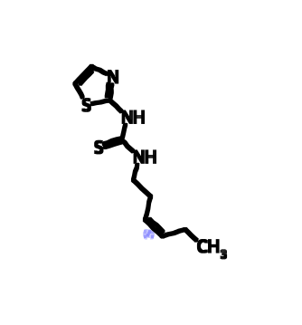 CC/C=C\CCNC(=S)Nc1nccs1